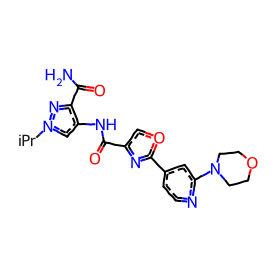 CC(C)n1cc(NC(=O)c2coc(-c3ccnc(N4CCOCC4)c3)n2)c(C(N)=O)n1